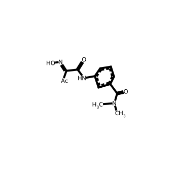 CC(=O)/C(=N\O)C(=O)Nc1cccc(C(=O)N(C)C)c1